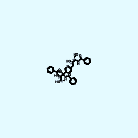 C[C@H](O)[C@H](NC(=O)c1ccccc1)C(O)(NC(=O)c1ccccc1)c1cnc(C[C@H](O)[C@H](CO)NC(=O)c2ccccc2)cn1